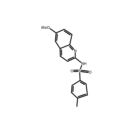 COc1ccc2nc(NS(=O)(=O)c3ccc(C)cc3)ccc2c1